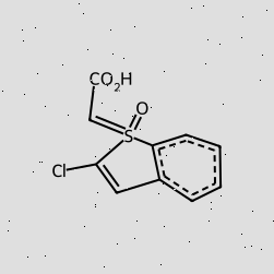 O=C(O)C=S1(=O)C(Cl)=Cc2ccccc21